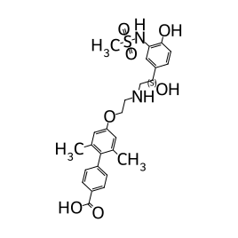 Cc1cc(OCCNC[C@@H](O)c2ccc(O)c(NS(C)(=O)=O)c2)cc(C)c1-c1ccc(C(=O)O)cc1